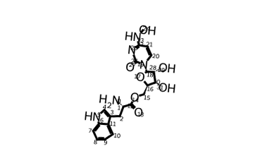 N[C@@H](Cc1c[nH]c2ccccc12)C(=O)OC[C@H]1O[C@@H](n2ccc(NO)nc2=O)[C@H](O)[C@@H]1O